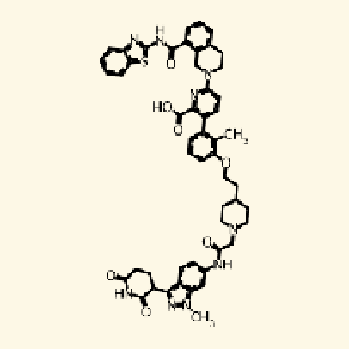 Cc1c(OCCC2CCN(CC(=O)Nc3ccc4c(C5CCC(=O)NC5=O)nn(C)c4c3)CC2)cccc1-c1ccc(N2CCc3cccc(C(=O)Nc4nc5ccccc5s4)c3C2)nc1C(=O)O